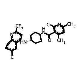 Cc1cc(C)c(C(=O)N[C@H]2CC[C@@H](Nc3cc(C(F)(F)F)nc4ccc(Cl)cc34)CC2)c(Cl)n1